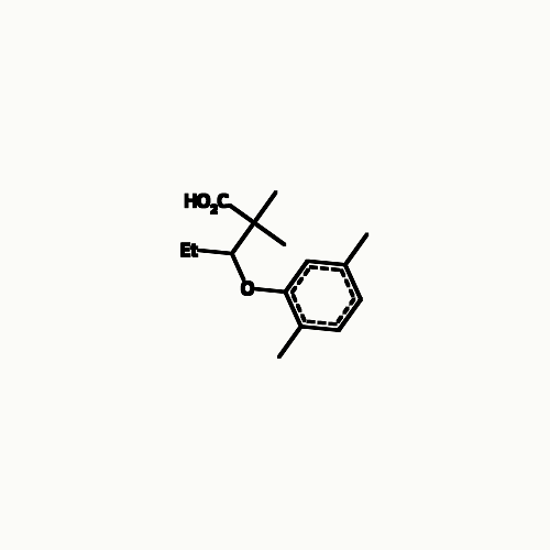 CCC(Oc1cc(C)ccc1C)C(C)(C)C(=O)O